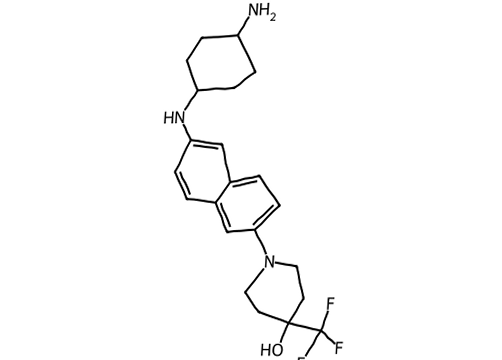 NC1CCC(Nc2ccc3cc(N4CCC(O)(C(F)(F)F)CC4)ccc3c2)CC1